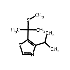 CSC(C)(C)c1scnc1C(C)C